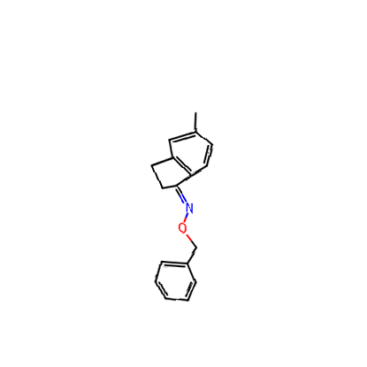 Cc1ccc2c(c1)CC/C2=N\OCc1ccccc1